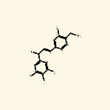 NCc1ccc(/C=C/C(c2cc(Cl)c(F)c(Cl)c2)C(F)(F)F)cc1Cl